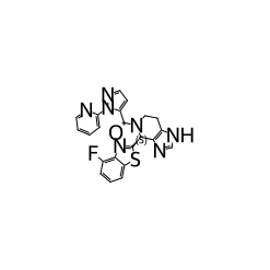 O=C(c1ccnn1-c1ccccn1)N1CCc2[nH]cnc2[C@H]1c1nc2c(F)cccc2s1